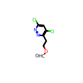 O=COCCc1nnc(Cl)cc1Cl